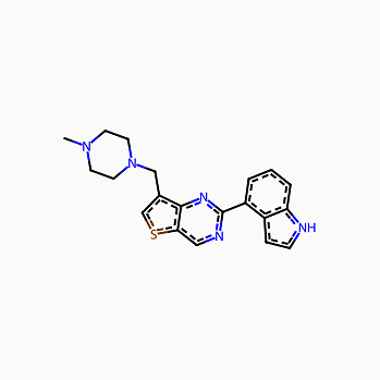 CN1CCN(Cc2csc3cnc(-c4cccc5[nH]ccc45)nc23)CC1